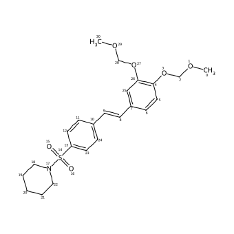 COCOc1ccc(C=Cc2ccc(S(=O)(=O)N3CCCCC3)cc2)cc1OCOC